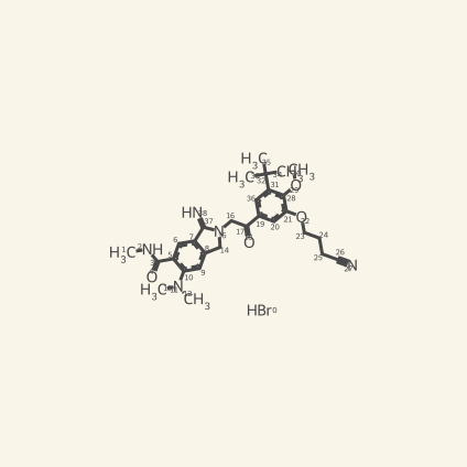 Br.CNC(=O)c1cc2c(cc1N(C)C)CN(CC(=O)c1cc(OCCCC#N)c(OC)c(C(C)(C)C)c1)C2=N